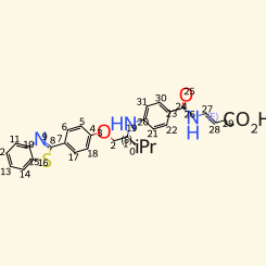 CC(C)[C@@H](COc1ccc(-c2nc3ccccc3s2)cc1)Nc1ccc(C(=O)N/C=C/C(=O)O)cc1